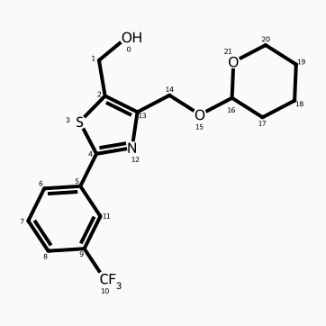 OCc1sc(-c2cccc(C(F)(F)F)c2)nc1COC1CCCCO1